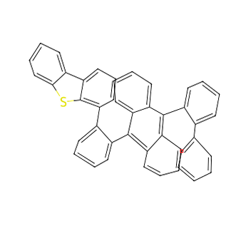 c1ccc(-c2ccccc2-c2c3ccccc3c(-c3ccccc3-c3cccc4c3sc3ccccc34)c3ccccc23)cc1